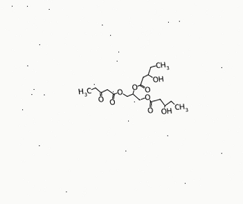 CCC(=O)CC(=O)OCC(COC(=O)CC(O)CC)OC(=O)CC(O)CC